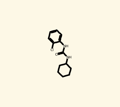 O=C(Nc1ccccc1Cl)NC1CCCCC1